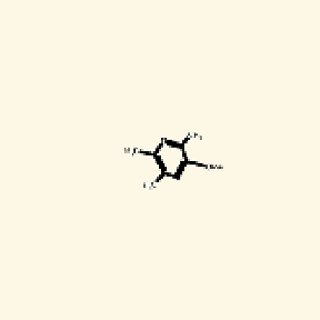 COc1cc(C)c(C)nc1C